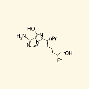 CCCC(CCCC(CC)CO)c1nc(O)c2c(N)nccn12